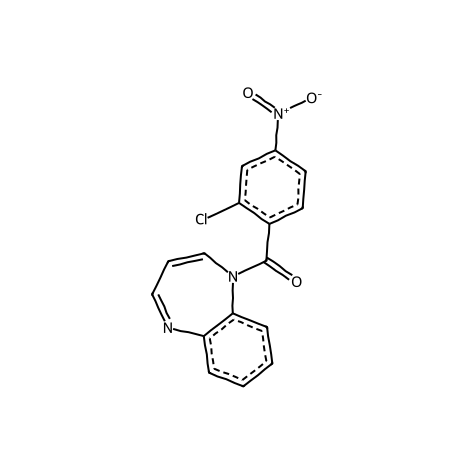 O=C(c1ccc([N+](=O)[O-])cc1Cl)N1C=CC=Nc2ccccc21